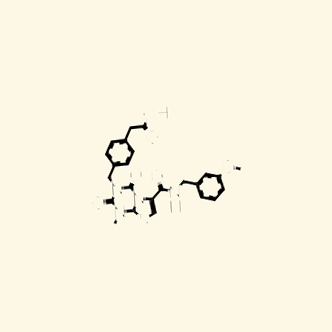 COc1cccc(CNC(=O)C2=CSC3N(C)C(=O)N(Cc4ccc(CC(=O)O)cc4)C(=O)N23)c1